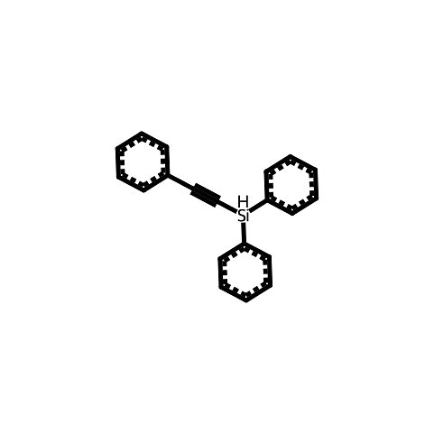 C(#C[SiH](c1ccccc1)c1ccccc1)c1ccccc1